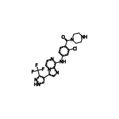 O=C(c1ccc(Nc2nccn3c(-c4c[nH]nc4C(F)(F)F)cnc23)cc1Cl)N1CCNCC1